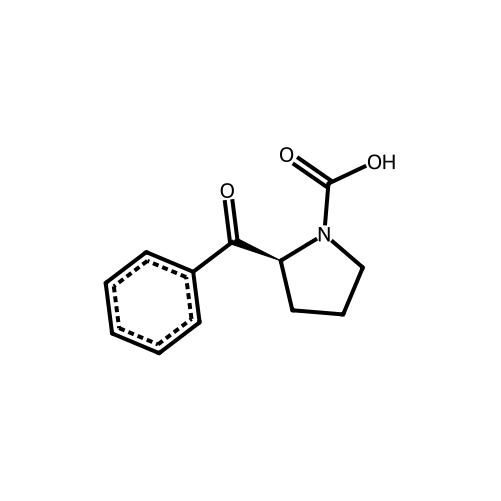 O=C(c1ccccc1)[C@@H]1CCCN1C(=O)O